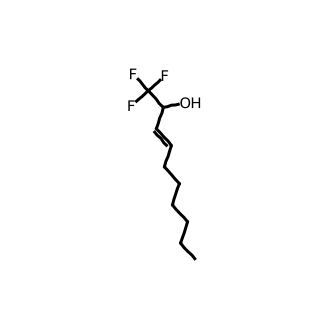 CCCCCCC=CC(O)C(F)(F)F